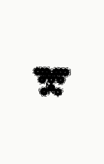 c1ccc(-c2cc(-c3cc4c5c(c3)N(c3ccccc3)c3c(ccc6cc7ccccc7cc36)B5c3ccc5cc6ccccc6cc5c3N4c3ccccc3)nc(-c3ccccc3)n2)cc1